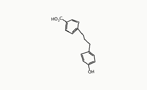 O=C(O)c1ccc(CCCc2ccc(O)cc2)cc1